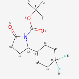 CC(C)(C)OC(=O)N1C(=O)CCC1C1CCC(F)(F)CC1